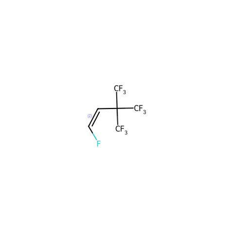 F/C=C\C(C(F)(F)F)(C(F)(F)F)C(F)(F)F